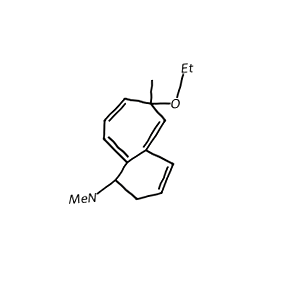 CCOC1(C)C=CC=C2C(=C1)C=CCC2NC